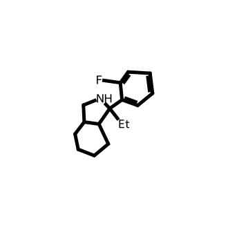 CCC1(c2ccccc2F)NCC2CCCCC21